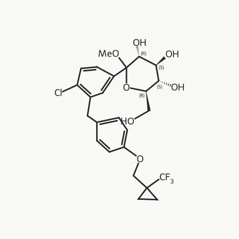 COC1(c2ccc(Cl)c(Cc3ccc(OCC4(C(F)(F)F)CC4)cc3)c2)O[C@H](CO)[C@@H](O)[C@H](O)[C@H]1O